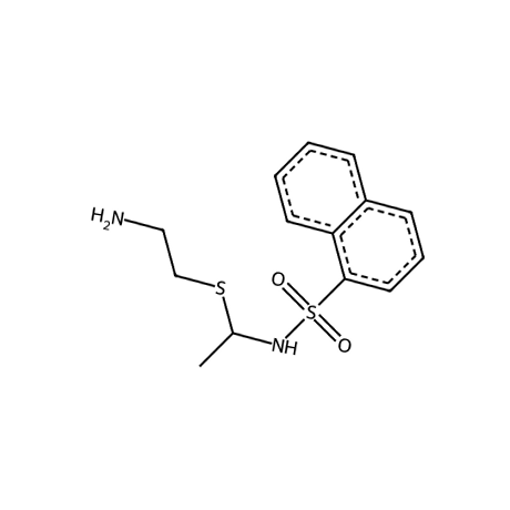 CC(NS(=O)(=O)c1cccc2ccccc12)SCCN